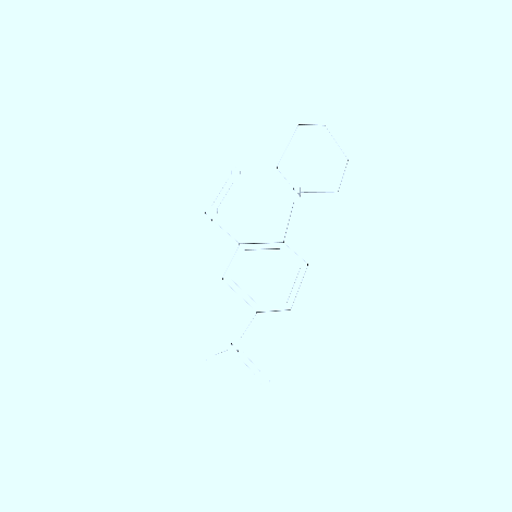 O=[N+]([O-])c1[c]c([N+](=O)[O-])c(N2CCCCC2)cc1